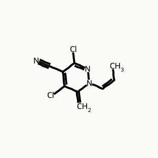 C=C1C(Cl)=C(C#N)C(Cl)=NN1/C=C\C